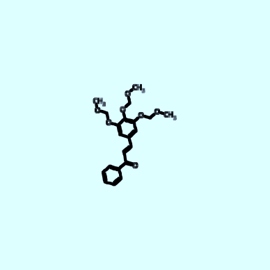 COCOc1cc(C=CC(=O)c2ccccc2)cc(OCOC)c1OCOC